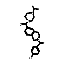 CC(C)N1CCN(C(=O)c2ccc3c(c2)CCN(C(=O)c2ccc(Cl)cc2)C3)CC1